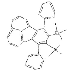 C[Si](C)(C)c1c(-c2ccccc2)c2c(c(-c3ccccc3)c1[Si](C)(C)C)-c1cccc3cccc-2c13